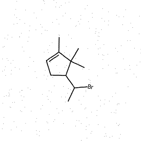 CC1=CCC(C(C)Br)C1(C)C